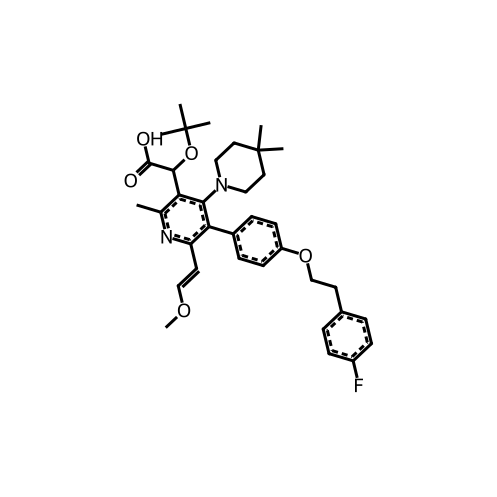 CO/C=C/c1nc(C)c(C(OC(C)(C)C)C(=O)O)c(N2CCC(C)(C)CC2)c1-c1ccc(OCCc2ccc(F)cc2)cc1